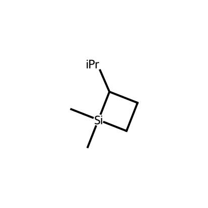 CC(C)C1CC[Si]1(C)C